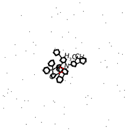 CC1(C)c2ccccc2-c2ccc(N(c3ccc4c(c3)C3(c5ccccc5-4)c4ccccc4C(c4ccccc4)(c4ccccc4)c4ccccc43)c3ccc(-c4ccccc4)cc3-c3ccccc3)cc21